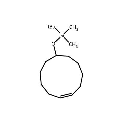 CC(C)(C)[Si](C)(C)OC1CCCCC=CCCCC1